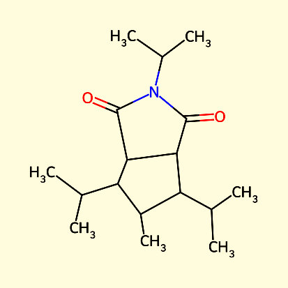 CC(C)C1C(C)C(C(C)C)C2C(=O)N(C(C)C)C(=O)C21